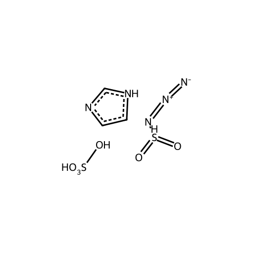 O=S(=O)(O)O.[N-]=[N+]=N[SH](=O)=O.c1c[nH]cn1